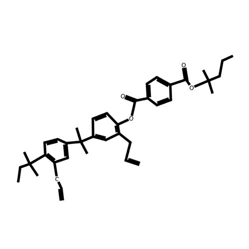 C=CCc1cc(C(C)(C)c2ccc(C(C)(C)CC)c(CC=C)c2)ccc1OC(=O)c1ccc(C(=O)OC(C)(C)CCC)cc1